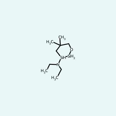 CCN(CC)[SiH]1CC(C)(C)CO[SiH2]1